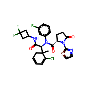 CC1([C@@H](C(=O)NC2CC(F)(F)C2)N(C(=O)[C@@H]2CCC(=O)N2c2nccs2)c2cccc(F)c2)CC=CC=C1Cl